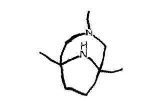 CN1CC2(C)CCC(C)(C1)N2